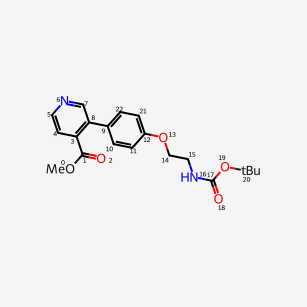 COC(=O)c1ccncc1-c1ccc(OCCNC(=O)OC(C)(C)C)cc1